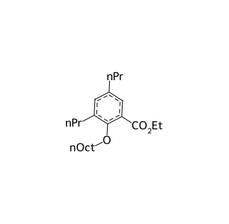 CCCCCCCCOc1c(CCC)cc(CCC)cc1C(=O)OCC